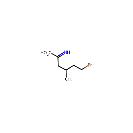 CC(CCBr)CC(=N)C(=O)O